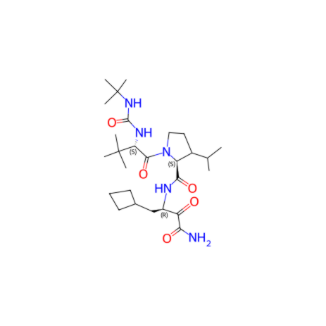 CC(C)C1CCN(C(=O)[C@@H](NC(=O)NC(C)(C)C)C(C)(C)C)[C@@H]1C(=O)N[C@H](CC1CCC1)C(=O)C(N)=O